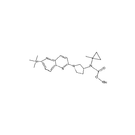 CC(C)(C)OC(=O)N(C1CCN(c2ccc3n[c]([Sn]([CH3])([CH3])[CH3])ccc3n2)C1)C1(C)CC1